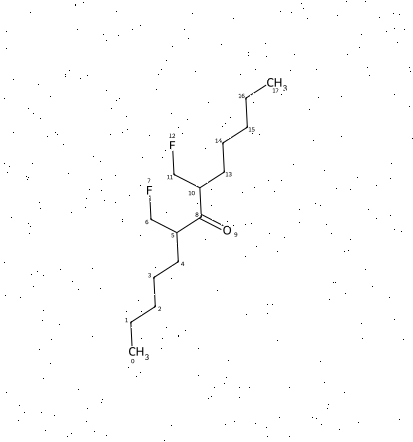 CCCCCC(CF)C(=O)C(CF)CCCCC